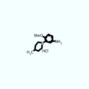 COc1ccc(N)cc1N1CCC(C)CC1.Cl